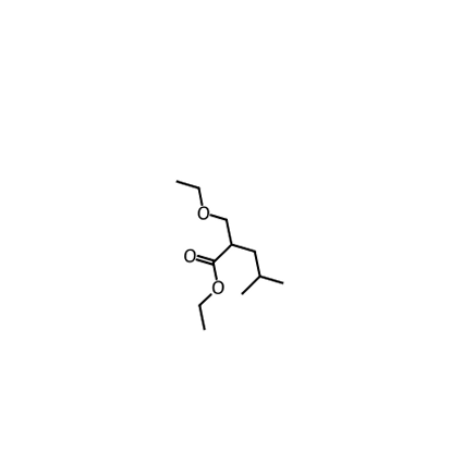 CCOCC(CC(C)C)C(=O)OCC